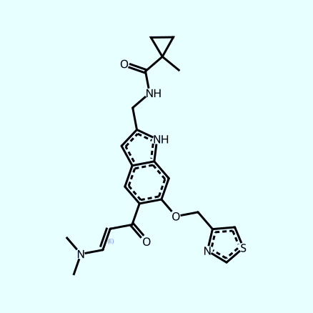 CN(C)/C=C/C(=O)c1cc2cc(CNC(=O)C3(C)CC3)[nH]c2cc1OCc1cscn1